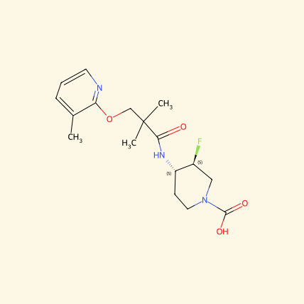 Cc1cccnc1OCC(C)(C)C(=O)N[C@H]1CCN(C(=O)O)C[C@@H]1F